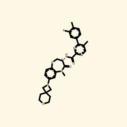 Cc1ccc(-c2nc(C(=O)N[C@H]3COc4ccc(N5CC6(CCOCC6)C5)cc4N(C)C3=O)ncc2C)cc1F